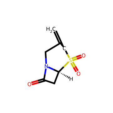 C=C1CN2C(=O)C[C@@H]2S(=O)(=O)C1